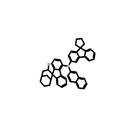 CCC1CC2CCCC(C2)C12c1ccccc1-c1c(N(c3ccc4c(c3)-c3ccccc3C43CCCC3)c3ccc4ccccc4c3)cccc12